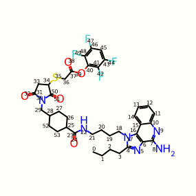 CCCCc1nc2c(N)nc3ccccc3c2n1CCCCNC(=O)C1CCC(CN2C(=O)CC(SCC(=O)Oc3c(F)c(F)cc(F)c3F)C2=O)CC1